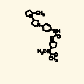 CC(=O)N(C)C1CCN(OC(=O)Nc2ccc(N3CCC(N4CCCC4C)C3)cc2)C1